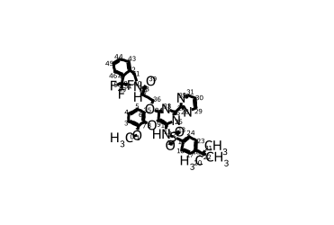 COc1ccccc1Oc1c(NS(=O)(=O)c2ccc(C(C)(C)C)cc2)nc(-c2ncccn2)nc1OCCC(=O)NCc1ccccc1C(F)(F)F